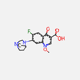 COn1cc(C(=O)O)c(=O)c2cc(F)c(N3CCN4CCC3CC4)cc21